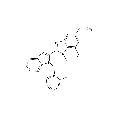 C=Cc1cc2c3c(c1)nc(-c1cc4ccccc4n1Cc1ccccc1F)n3CCC2